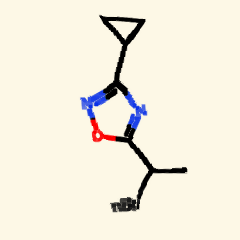 CCCCC(C)c1nc(C2CC2)no1